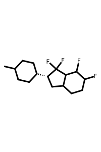 CC1CCC([C@H]2CC3CCC(F)C(F)C3C2(F)F)CC1